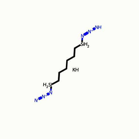 [KH].[N-]=[N+]=N[SiH2]CCCCCC[SiH2]N=[N+]=N